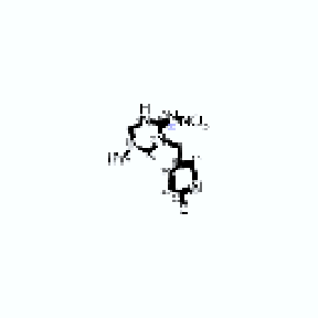 CC(C)N1CN/C(=N/[N+](=O)[O-])N(Cc2ccc(Cl)nc2)C1